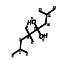 CC(C)CC(C)(C)C(O)(O)CC(C)C